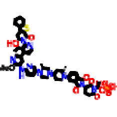 COc1ncc(-c2ccnc(N3CCc4c(sc5c4CCCC5)C3=O)c2C(C)O)cc1Nc1ccc(N2CCN(C3CCN(c4ccc5c(c4)C(=O)N(C4CCC(=O)N(C(C)OP(=O)(O)O)C4=O)C5=O)[C@@H](C)C3)C[C@@H]2C)cn1